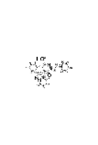 Cl.O=c1c(-c2c(-c3ccccc3)nn3ccccc23)ccnn1CCN1CCCCC1